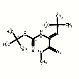 COC(=O)C(=CC(C)(C)C)NC(=O)OC(C)(C)C